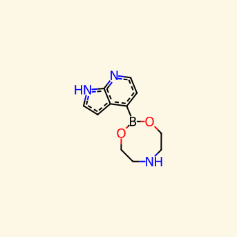 c1cc(B2OCCNCCO2)c2cc[nH]c2n1